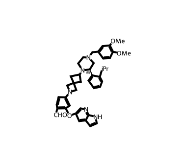 COc1ccc(CN2CCN(C3CC4(C3)CN(c3ccc(C=O)c(Oc5cnc6[nH]ccc6c5)c3)C4)[C@H](c3ccccc3C(C)C)C2)cc1OC